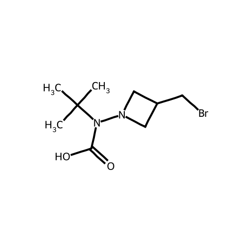 CC(C)(C)N(C(=O)O)N1CC(CBr)C1